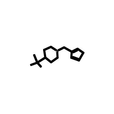 CC(C)(C)C1CCN(CC2=CCC=C2)CC1